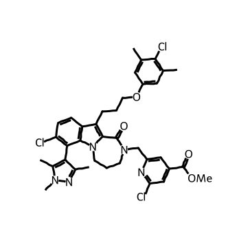 COC(=O)c1cc(Cl)nc(CN2CCCn3c(c(CCCOc4cc(C)c(Cl)c(C)c4)c4ccc(Cl)c(-c5c(C)nn(C)c5C)c43)C2=O)c1